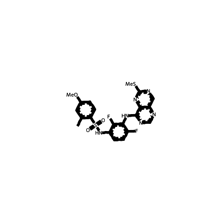 COc1ccc(S(=O)(=O)Nc2ccc(F)c(Nc3ncnc4cnc(SC)nc34)c2F)c(C)c1